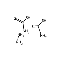 NC(=S)S.NC(=S)S.NN